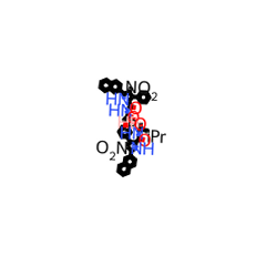 CC(C)CC(NC(=O)C1NC(c2ccc3ccccc3c2)C([N+](=O)[O-])C1c1ccccc1)OBOC(CC(C)C)NC(=O)C1NC(c2ccc3ccccc3c2)C([N+](=O)[O-])C1c1ccccc1